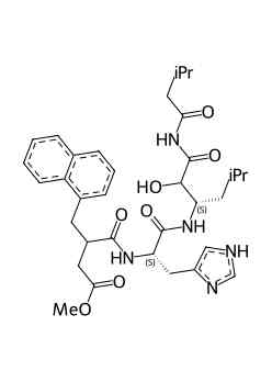 COC(=O)CC(Cc1cccc2ccccc12)C(=O)N[C@@H](Cc1c[nH]cn1)C(=O)N[C@@H](CC(C)C)C(O)C(=O)NC(=O)CC(C)C